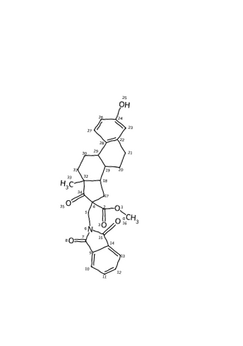 COC(=O)C1(CN2C(=O)c3ccccc3C2=O)CC2C3CCc4cc(O)ccc4C3CCC2(C)C1=O